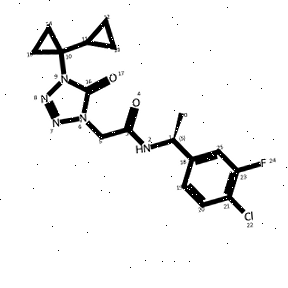 C[C@H](NC(=O)Cn1nnn(C2(C3CC3)CC2)c1=O)c1ccc(Cl)c(F)c1